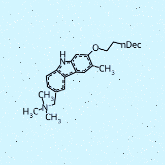 CCCCCCCCCCCCOc1cc2[nH]c3ccc(C[N+](C)(C)C)cc3c2cc1C